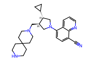 N#Cc1ccc(N2C[C@@H](CN3CCC4(CCNCC4)CC3)[C@H](C3CC3)C2)c2cccnc12